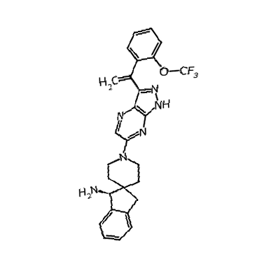 C=C(c1ccccc1OC(F)(F)F)c1n[nH]c2nc(N3CCC4(CC3)Cc3ccccc3[C@H]4N)cnc12